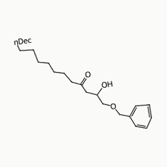 CCCCCCCCCCCCCCCCCC(=O)CC(O)COCc1ccccc1